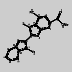 CCn1c(-c2nc3cc(C(=O)OC)cc(C#N)c3n2C)cc2cccnc21